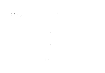 COCCN1C(=O)c2ccccc2C1=O